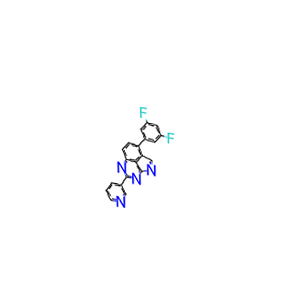 Fc1cc(F)cc(-c2ccc3nc(-c4cccnc4)nc4c3c2C=N4)c1